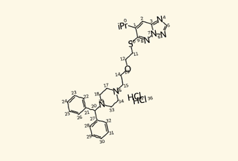 CC(C)c1cc2ncnn2nc1SCCOCCN1CCN(C(c2ccccc2)c2ccccc2)CC1.Cl.Cl